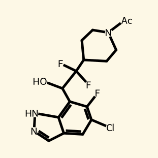 CC(=O)N1CCC(C(F)(F)C(O)c2c(F)c(Cl)cc3cn[nH]c23)CC1